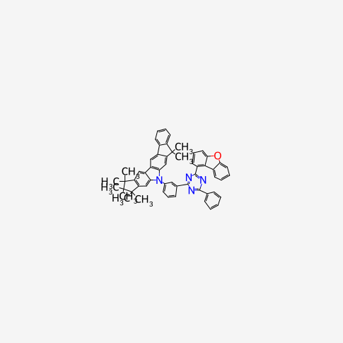 CC1(C)c2ccccc2-c2cc3c4cc5c(cc4n(-c4cccc(-c6nc(-c7ccccc7)nc(-c7cccc8oc9ccccc9c78)n6)c4)c3cc21)C(C)(C)C(C)(C)C5(C)C